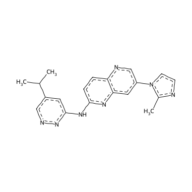 Cc1nccn1-c1cnc2ccc(Nc3cc(C(C)C)cnn3)nc2c1